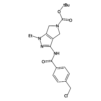 CCn1nc(NC(=O)c2ccc(CCl)cc2)c2c1CN(C(=O)OC(C)(C)C)C2